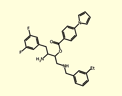 CCc1cccc(CNCC(OC(=O)c2ccc(-n3cccc3)cc2)C(N)Cc2cc(F)cc(F)c2)c1